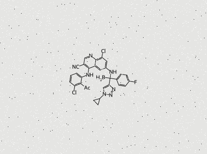 BC(Nc1cc(Cl)c2ncc(C#N)c(Nc3cccc(Cl)c3C(C)=O)c2c1)(c1ccc(F)cc1)c1cn(C2CC2)nn1